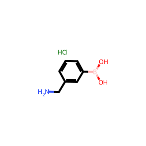 Cl.NCc1cccc(B(O)O)c1